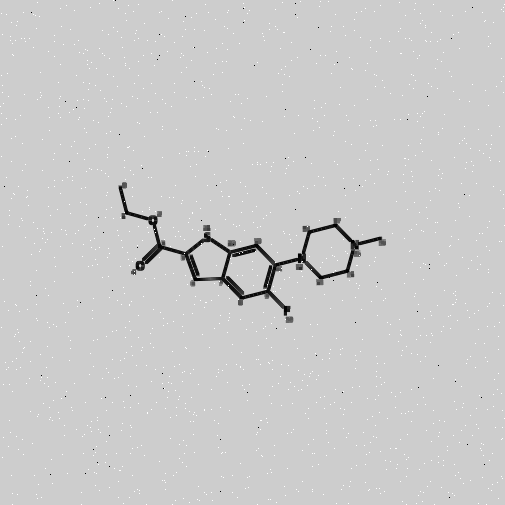 CCOC(=O)c1cc2cc(F)c(N3CCN(C)CC3)cc2s1